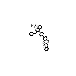 Cc1cccc2c(-c3ccc(-c4ccc(OC(Cc5ccccc5)C(=O)O)cc4)cc3)c(Cc3ccccc3)oc12